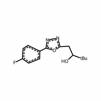 CC(C)(C)C(O)Cc1nnc(-c2ccc(F)cc2)o1